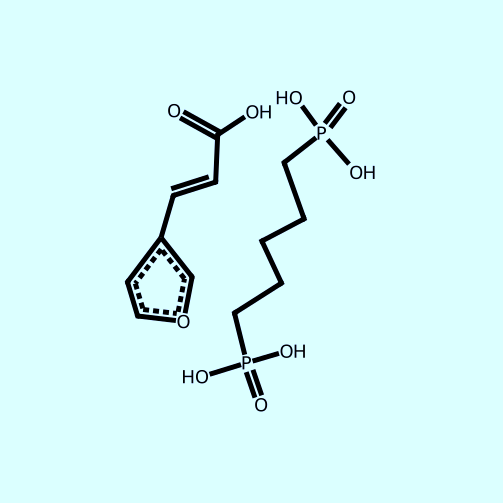 O=C(O)C=Cc1ccoc1.O=P(O)(O)CCCCCP(=O)(O)O